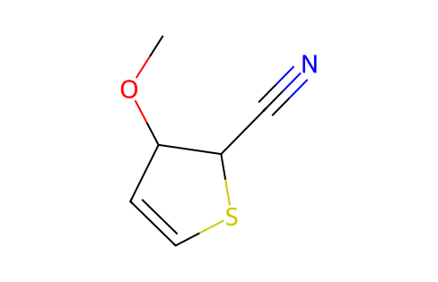 COC1C=CSC1C#N